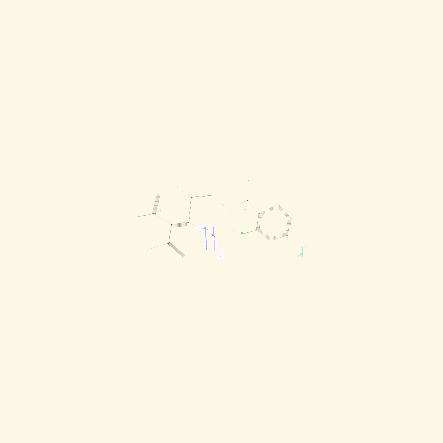 C=C(C)C(C(=C)C)=C(N)C(C)CS[C@H](C)c1ccc(F)cc1Cl